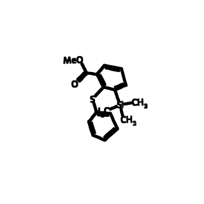 COC(=O)c1cccc([Si](C)(C)C)c1Sc1ccccc1